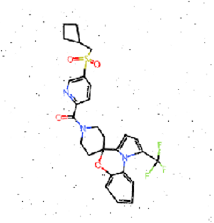 O=C(c1ccc(S(=O)(=O)CC2CCC2)cn1)N1CCC2(CC1)Oc1ccccc1-n1c(C(F)(F)F)ccc12